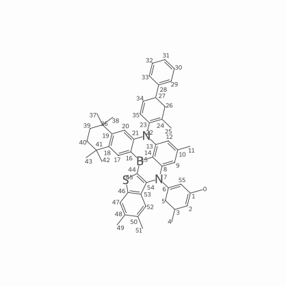 CC1=CC(C)CC(N2c3cc(C)cc4c3B(c3cc5c(cc3N4C3=C(C)CC(c4ccccc4)C=C3)C(C)(C)CCC5(C)C)c3sc4cc(C)c(C)cc4c32)=C1